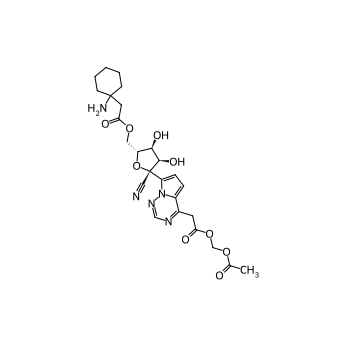 CC(=O)OCOC(=O)Cc1ncnn2c([C@]3(C#N)O[C@H](COC(=O)CC4(N)CCCCC4)[C@@H](O)[C@H]3O)ccc12